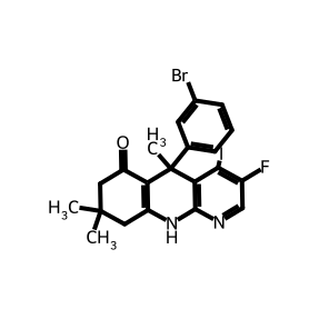 CC1(C)CC(=O)C2=C(C1)Nc1ncc(F)c(I)c1C2(C)c1cccc(Br)c1